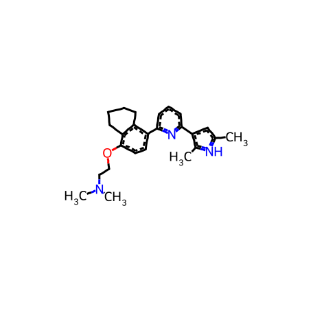 Cc1cc(-c2cccc(-c3ccc(OCCN(C)C)c4c3CCCC4)n2)c(C)[nH]1